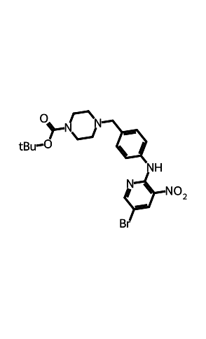 CC(C)(C)OC(=O)N1CCN(Cc2ccc(Nc3ncc(Br)cc3[N+](=O)[O-])cc2)CC1